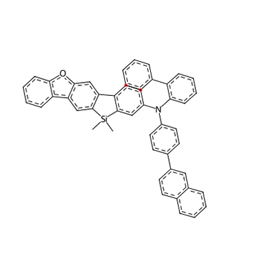 C[Si]1(C)c2cc(N(c3ccc(-c4ccc5ccccc5c4)cc3)c3ccccc3-c3ccccc3)ccc2-c2cc3oc4ccccc4c3cc21